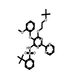 COc1ccccc1Oc1c(NS(=O)(=O)c2ccccc2C(C)(C)C)nc(-c2ncccn2)nc1OCCOC(C)(C)C